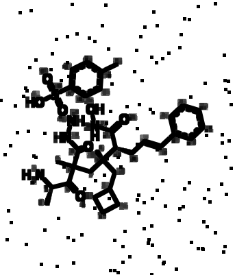 C[C@@H](N)C(=O)C(C)(C[C@@](C)(CC1CCC1)[C@H](C/C=C/c1ccccc1)C(=O)NO)C(=O)NN.Cc1ccc(S(=O)(=O)O)cc1